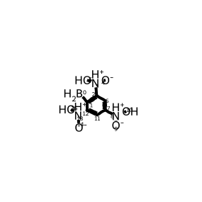 Bc1c([NH+]([O-])O)cc([NH+]([O-])O)cc1[NH+]([O-])O